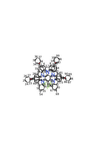 Cc1ccc2c(c1)c1cc(C)ccc1n2-c1c(-n2c3ccc(-c4ccccc4)cc3c3cc(-c4ccccc4)ccc32)c(-n2c3ccc(C)cc3c3cc(C)ccc32)c(C(F)(F)F)c(-n2c3ccc(C)cc3c3cc(C)ccc32)c1-n1c2ccc(-c3ccccc3)cc2c2cc(-c3ccccc3)ccc21